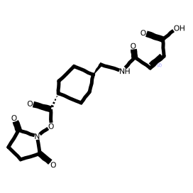 O=C(O)/C=C\C(=O)NC[C@H]1CC[C@H](C(=O)ON2C(=O)CCC2=O)CC1